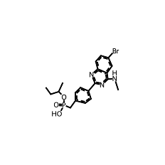 CCC(C)OP(=O)(O)Cc1ccc(-c2nc(NC)c3cc(Br)ccc3n2)cc1